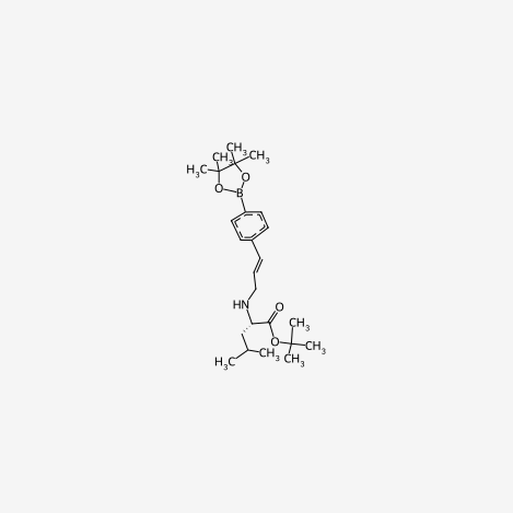 CC(C)C[C@H](NCC=Cc1ccc(B2OC(C)(C)C(C)(C)O2)cc1)C(=O)OC(C)(C)C